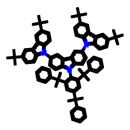 CC(C)(C)c1ccc2c(c1)c1cc(C(C)(C)C)ccc1n2-c1ccc2c(c1)c1cc(-n3c4ccc(C(C)(C)C)cc4c4cc(C(C)(C)C)ccc43)ccc1n2-c1c(C(C)(C)c2ccccc2)cc(C(C)(C)c2ccccc2)cc1C(C)(C)c1ccccc1